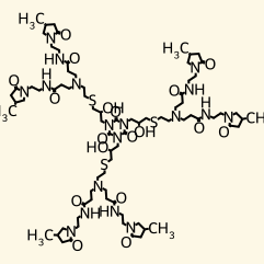 CC1CC(=O)N(CCNC(=O)CCN(CCSCC(O)Cn2c(=O)n(CC(O)CSCCN(CCC(=O)NCCN3CC(C)CC3=O)CCC(=O)NCCN3CC(C)CC3=O)c(=O)n(CC(O)CSCCN(CCC(=O)NCCN3CC(C)CC3=O)CCC(=O)NCCN3CC(C)CC3=O)c2=O)CCC(=O)NCCN2CC(C)CC2=O)C1